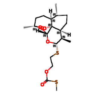 CSC(=O)OCCS[C@@H]1O[C@@H]2O[C@]3(C)CC[C@H]4[C@H](C)CC[C@@H]([C@H]1C)[C@@]24OO3